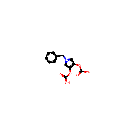 O=C(O)Oc1cn(Cc2ccccc2)cc1OC(=O)O